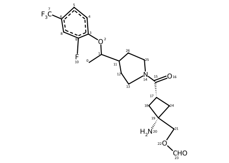 CC(Oc1ccc(C(F)(F)F)cc1F)C1CCN(C(=O)[C@H]2C[C@](N)(COC=O)C2)CC1